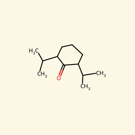 CC(C)C1CCCC(C(C)C)C1=O